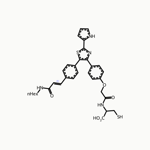 CCCCCCNC(=O)/C=C/c1ccc(-c2sc(-c3ccc[nH]3)nc2-c2ccc(OCC(=O)NC(CS)C(=O)O)cc2)cc1